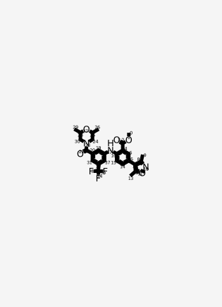 COC(=O)c1cc(-c2c(C)noc2C)ccc1Nc1cc(C(=O)N2CC(C)OC(C)C2)cc(C(F)(F)F)c1